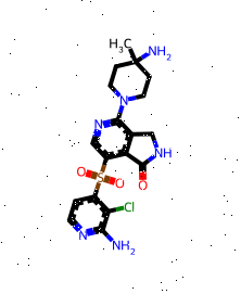 CC1(N)CCN(c2ncc(S(=O)(=O)c3ccnc(N)c3Cl)c3c2CNC3=O)CC1